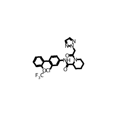 O=C(Nc1ccc(-c2ccccc2OC(F)(F)F)c(Cl)c1)C1CCCCN1C(=O)Cn1nccn1